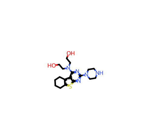 OCCN(CCO)c1nc(N2CCNCC2)nc2sc3c(c12)CCCC3